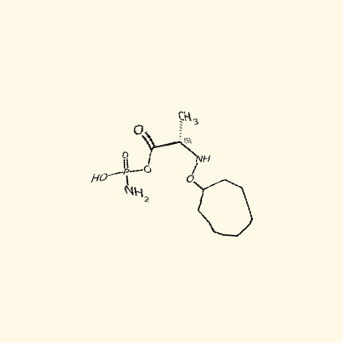 C[C@H](NOC1CCCCCC1)C(=O)OP(N)(=O)O